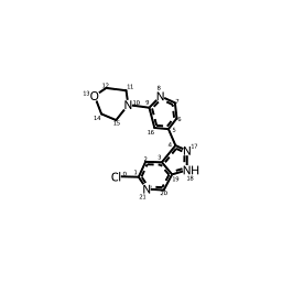 Clc1cc2c(-c3ccnc(N4CCOCC4)c3)n[nH]c2cn1